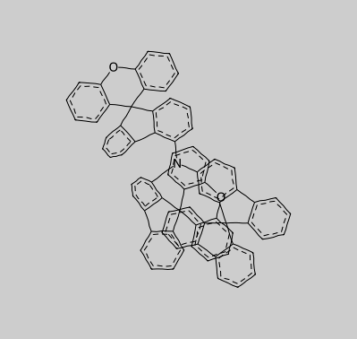 c1ccc2c(c1)Oc1ccccc1C21c2ccccc2-c2c(N(c3ccc4c(c3)C3(c5ccccc5-c5ccccc53)c3ccccc3-4)c3cccc4c3C3(c5ccccc5Oc5ccccc53)c3ccccc3-4)cccc21